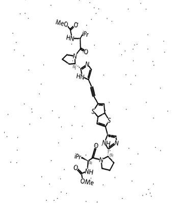 COC(=O)NC(C(=O)N1CCC[C@H]1c1ncc(C#CC2=CC3SC(c4cnc([C@@H]5CCCN5C(=O)[C@@H](NC(=O)OC)C(C)C)[nH]4)=CC3S2)[nH]1)C(C)C